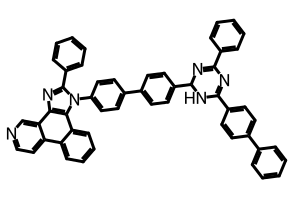 c1ccc(C2=NC(c3ccc(-c4ccc(-n5c(-c6ccccc6)nc6c7cnccc7c7ccccc7c65)cc4)cc3)NC(c3ccc(-c4ccccc4)cc3)=N2)cc1